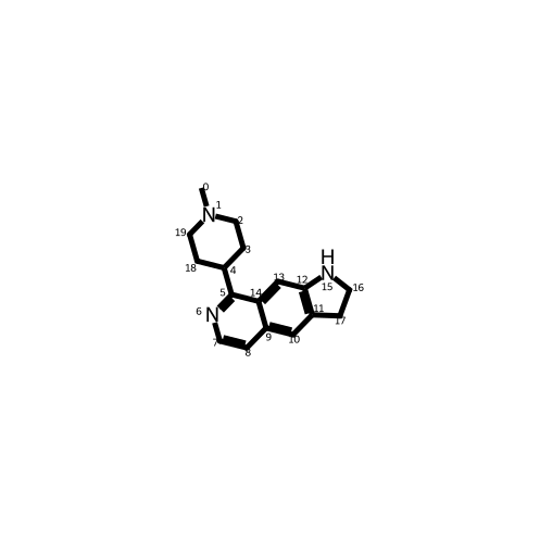 CN1CCC(c2nccc3cc4c(cc23)NCC4)CC1